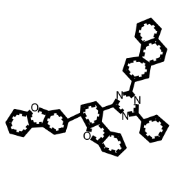 c1ccc(-c2nc(-c3ccc4c(ccc5ccccc54)c3)nc(-c3ccc(-c4ccc5c(c4)oc4ccccc45)c4oc5ccccc5c34)n2)cc1